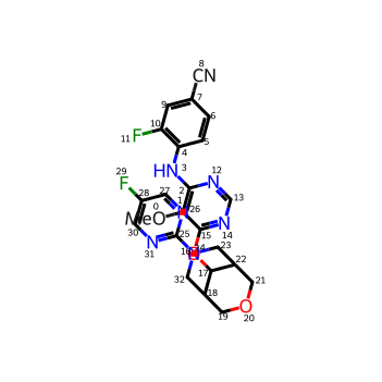 COc1c(Nc2ccc(C#N)cc2F)ncnc1OC1C2COCC1CN(c1ncc(F)cn1)C2